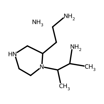 CC(N)C(C)N1CCNCC1CCN.N